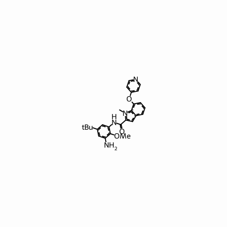 COc1c(N)cc(C(C)(C)C)cc1NC(=O)c1cc2cccc(Oc3ccncc3)c2n1C